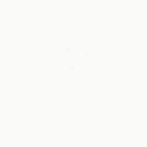 CC(=O)/N=C(/N)N(C)CC(=O)OC(C)=O